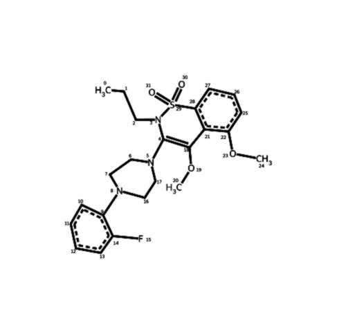 CCCN1C(N2CCN(c3ccccc3F)CC2)=C(OC)c2c(OC)cccc2S1(=O)=O